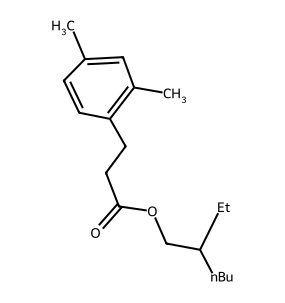 CCCCC(CC)COC(=O)CCc1ccc(C)cc1C